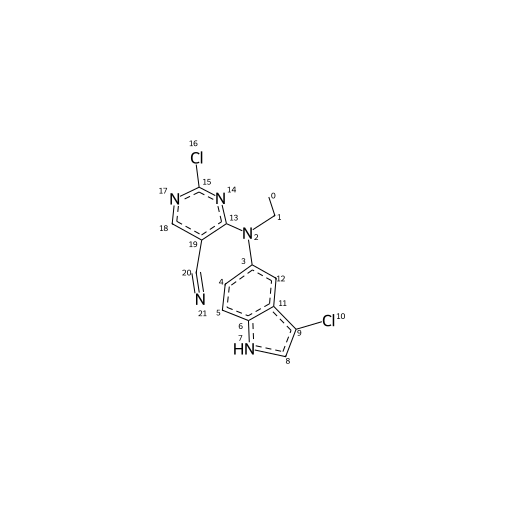 CCN(c1ccc2[nH]cc(Cl)c2c1)c1nc(Cl)ncc1C#N